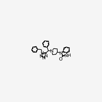 O=c1[nH]c2ccccc2n1C1CCN(C(c2ccccc2)c2nnnn2Cc2ccccc2)CC1